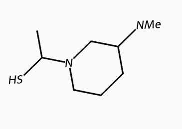 CNC1CCCN(C(C)S)C1